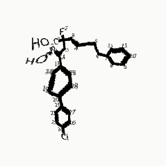 O=C(O)C(F)(CCCCc1ccccc1)CC(=NO)c1ccc(-c2ccc(Cl)cc2)cc1